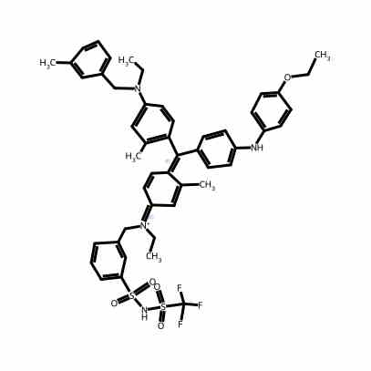 CCOc1ccc(Nc2ccc(/C(=C3C=C/C(=[N+](/CC)Cc4cccc(S(=O)(=O)NS(=O)(=O)C(F)(F)F)c4)C=C/3C)c3ccc(N(CC)Cc4cccc(C)c4)cc3C)cc2)cc1